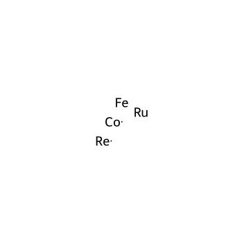 [Co].[Fe].[Re].[Ru]